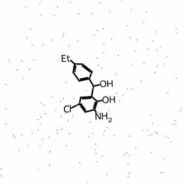 CCc1ccc(C(O)c2cc(Cl)cc(N)c2O)cc1